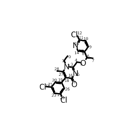 CCn1c(COC(C)c2ccc(Cl)nc2)nc(=O)c(-c2cc(Cl)cc(Cl)c2)c1C